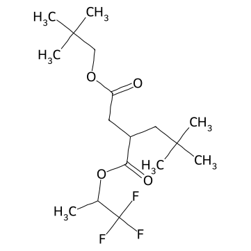 CC(OC(=O)C(CC(=O)OCC(C)(C)C)CC(C)(C)C)C(F)(F)F